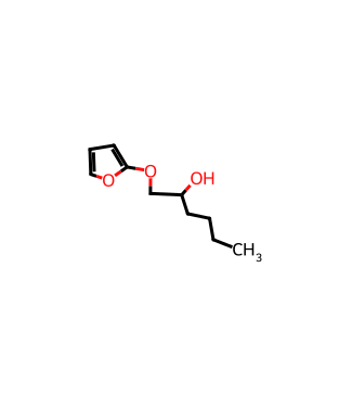 CCCCC(O)COc1ccco1